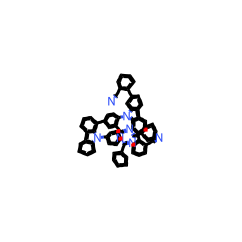 N#Cc1ccccc1-c1ccc2c3ccc(-c4ccccc4C#N)cc3n(-c3ccc(-c4cccc5c6ccccc6n(-c6ccccc6)c45)cc3-c3nc(-c4ccccc4)nc(-c4ccccc4)n3)c2c1